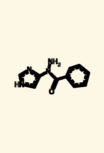 NN(C(=O)c1ccccc1)c1c[nH]cn1